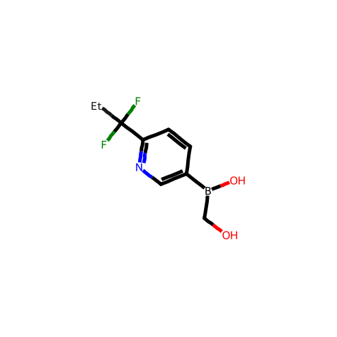 CCC(F)(F)c1ccc(B(O)CO)cn1